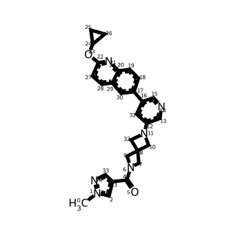 Cn1cc(C(=O)N2CC3(C2)CN(c2cncc(-c4ccc5nc(OC6CC6)ccc5c4)c2)C3)cn1